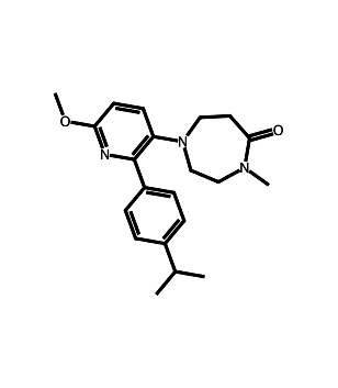 COc1ccc(N2CCC(=O)N(C)CC2)c(-c2ccc(C(C)C)cc2)n1